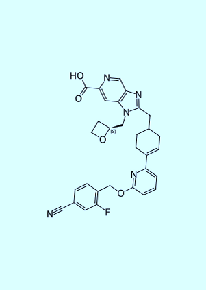 N#Cc1ccc(COc2cccc(C3=CCC(Cc4nc5cnc(C(=O)O)cc5n4C[C@@H]4CCO4)CC3)n2)c(F)c1